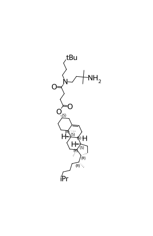 CC(C)CCC[C@@H](C)[C@H]1CC[C@H]2[C@@H]3CC=C4C[C@@H](OC(=O)CCC(=O)N(CCCC(C)(C)C)CCC(C)(C)N)CC[C@]4(C)[C@H]3CC[C@]12C